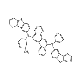 CC1C=CCC(N(c2ccc3sc4c(c3c2)CCC=C4)c2cc3c4ccccc4c(N(c4ccccc4)c4ccc5sc6ccccc6c5c4)cc3c3ccccc23)C1